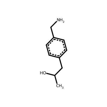 CC(O)Cc1ccc(CN)cc1